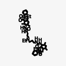 CCOP(=O)(Cc1c(C)cc(C)c(NC(=O)NCCCN(CC)CCCNC(=O)Nc2c(C)cc(C)c(C(=O)P(=O)(OCC)c3ccccc3)c2C)c1C)c1ccccc1